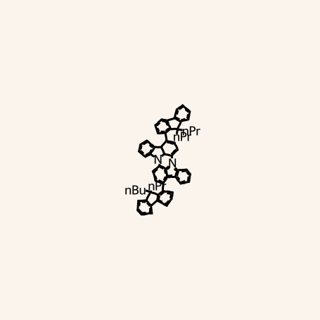 CCCCC1(CCC)c2ccccc2-c2cccc(-c3ccc4c5c3c3ccccc3n5C3=CC=C(c5cccc6c5C(CCC)(CCC)c5ccccc5-6)C5c6ccccc6N4C35)c21